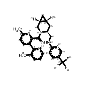 Cc1ccc(-c2ncccc2C)c(C(=O)N2C[C@@H]3C[C@@H]3C[C@H]2CNc2ccc(C(F)(F)F)cn2)n1